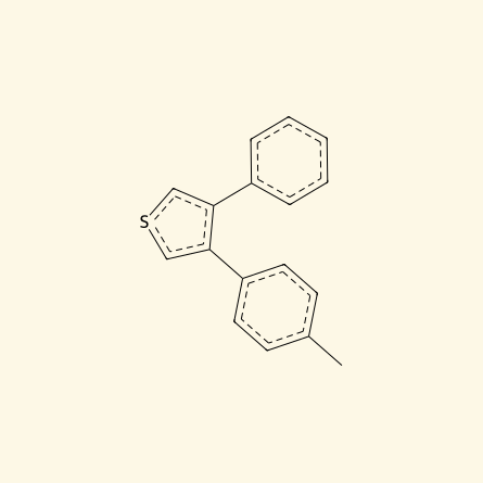 Cc1ccc(-c2cscc2-c2ccccc2)cc1